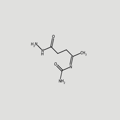 CC(CCC(=O)NN)=NC(N)=O